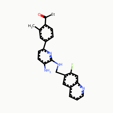 CCC(=O)c1ccc(-c2ccc(N)c(NCc3cc4cccnc4cc3F)n2)cc1C